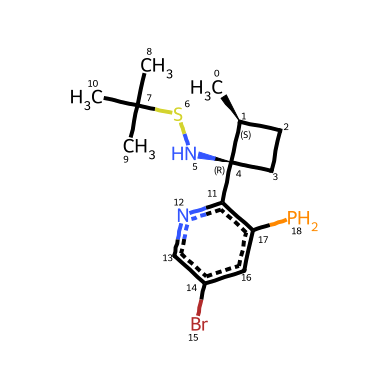 C[C@H]1CC[C@]1(NSC(C)(C)C)c1ncc(Br)cc1P